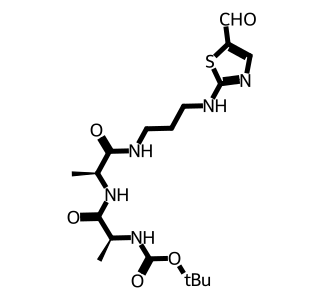 C[C@H](NC(=O)OC(C)(C)C)C(=O)N[C@@H](C)C(=O)NCCCNc1ncc(C=O)s1